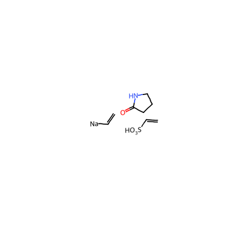 C=CS(=O)(=O)O.C=[CH][Na].O=C1CCCN1